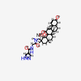 CN(CC1(C)CCC2(C)CCC3(C)C4(C)CCC5CC(=O)C=CC5(C)C4=CC(=O)C3(O)C2C1C#N)C(=O)CNC(=O)c1cn[nH]c1